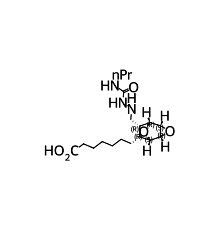 CCCNC(=O)NNC[C@H]1[C@@H](CCCCCCC(=O)O)[C@@H]2O[C@H]1[C@@H]1O[C@@H]12